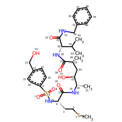 CSCC[C@H](NS(=O)(=O)c1ccc(CO)cc1)C(=O)N[C@@H](C)[C@@H](O)C[C@@H](C)C(=O)N[C@H](C(=O)NCc1ccccc1)C(C)C